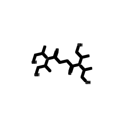 CC(CO)N(C(=O)CCC(=O)N(C(C)CO)C(C)CO)C(C)CO